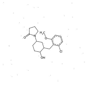 COc1cccc(Cl)c1CC1CC(N2CCCC2=O)CCC1O